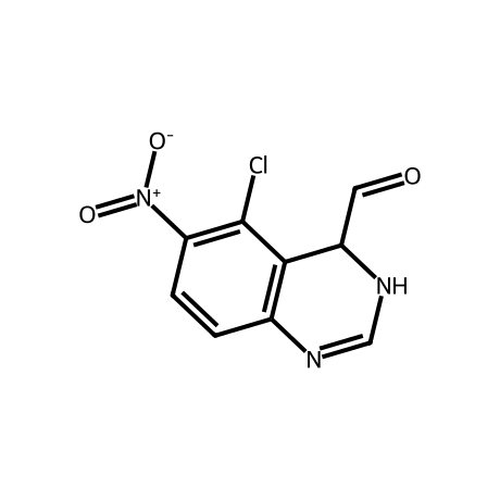 O=CC1NC=Nc2ccc([N+](=O)[O-])c(Cl)c21